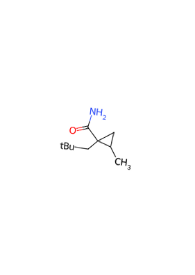 CC1CC1(CC(C)(C)C)C(N)=O